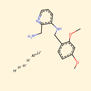 COc1ccc(CNc2cccnc2CN)c(OC)c1.[Al+3].[H-].[H-].[H-].[H-].[Li+]